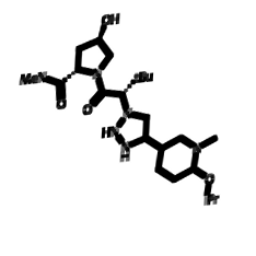 CNC(=O)[C@@H]1C[C@@H](O)CN1C(=O)[C@@H](N1CC(C2CCC(OC(C)C)N(C)C2)NN1)C(C)(C)C